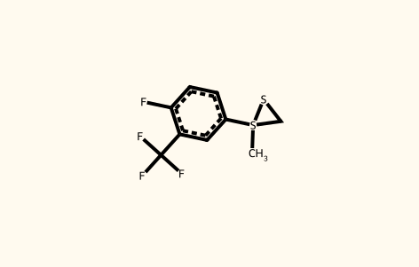 CS1(c2ccc(F)c(C(F)(F)F)c2)CS1